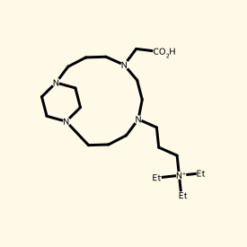 CC[N+](CC)(CC)CCCN1CCCN2CCN(CCCN(CC(=O)O)CC1)CC2